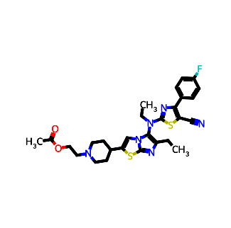 CCc1nc2sc(C3CCN(CCOC(C)=O)CC3)cn2c1N(CC)c1nc(-c2ccc(F)cc2)c(C#N)s1